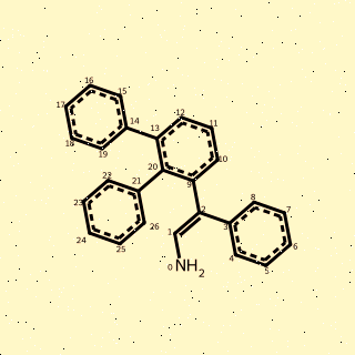 N[C]=C(c1ccccc1)c1cccc(-c2ccccc2)c1-c1ccccc1